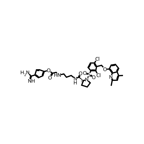 Cc1cc(C)c2cccc(OCc3c(Cl)ccc(S(=O)(=O)N4CCC[C@H]4C(=O)NCCCNCC(=O)Oc4ccc(C(=N)N)cc4)c3Cl)c2n1